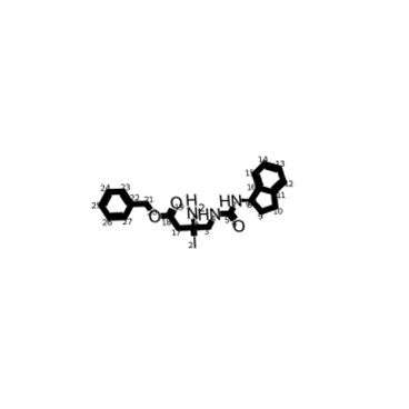 N[C@](I)(CNC(=O)N[C@@H]1CCc2ccccc21)CC(=O)OCc1ccccc1